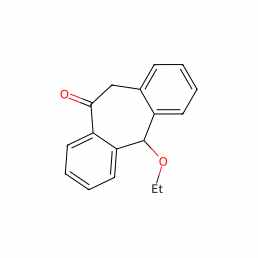 CCOC1c2ccccc2CC(=O)c2ccccc21